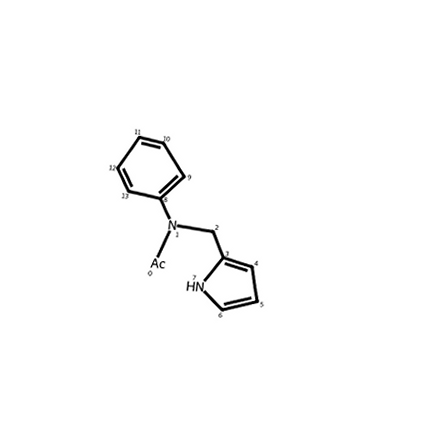 CC(=O)N(Cc1ccc[nH]1)c1ccccc1